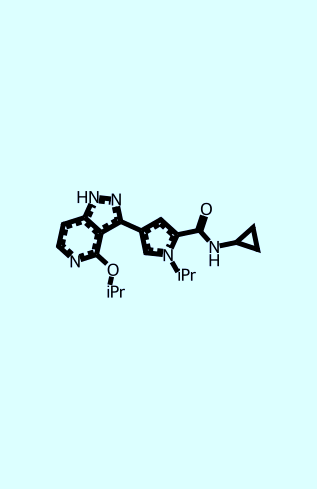 CC(C)Oc1nccc2[nH]nc(-c3cc(C(=O)NC4CC4)n(C(C)C)c3)c12